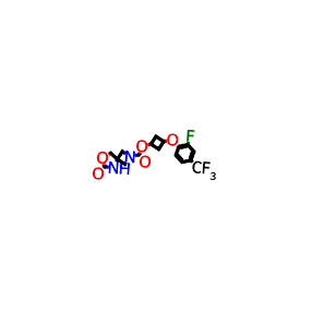 O=C1NC2(CO1)CN(C(=O)OC1CC(Oc3ccc(C(F)(F)F)cc3F)C1)C2